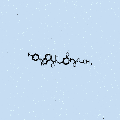 CCOC(=O)Cn1ccc(CNC(=O)c2cccc3c2cnn3-c2ccc(F)cc2)cc1=O